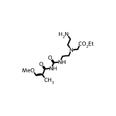 CCOC(=O)CN(CCN)CCNC(=O)NC(=O)/C(C)=C\OC